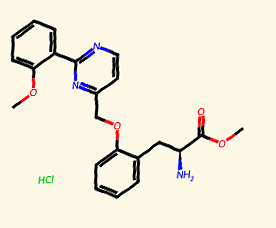 COC(=O)[C@@H](N)Cc1ccccc1OCc1ccnc(-c2ccccc2OC)n1.Cl